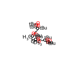 Cc1cc(OC(=O)CCc2cc(C(C)(C)C)c(OC(=O)OC(C)(C)C)c(C(C)(C)C)c2)c(C(C)(C)C)cc1CC(C)c1cc(C(C)(C)C)c(OC(=O)CCc2cc(C(C)(C)C)c(OC(=O)OC(C)(C)C)c(C(C)(C)C)c2)cc1C